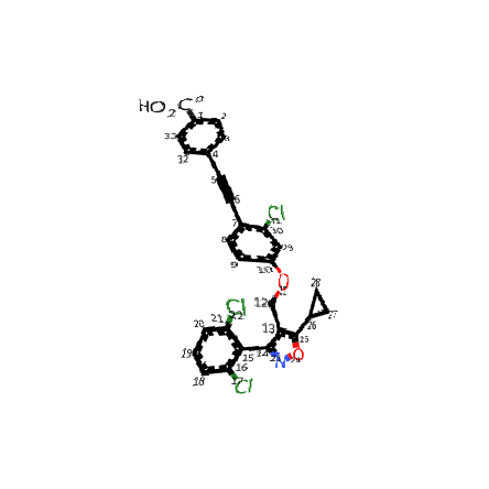 O=C(O)c1ccc(C#Cc2ccc(OCc3c(-c4c(Cl)cccc4Cl)noc3C3CC3)cc2Cl)cc1